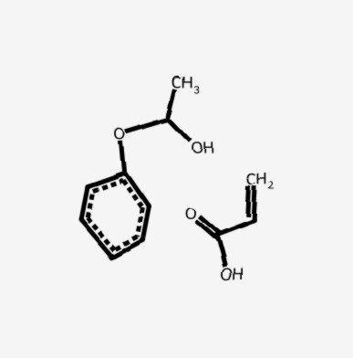 C=CC(=O)O.CC(O)Oc1ccccc1